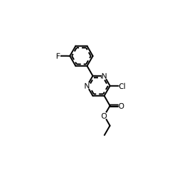 CCOC(=O)c1cnc(-c2cccc(F)c2)nc1Cl